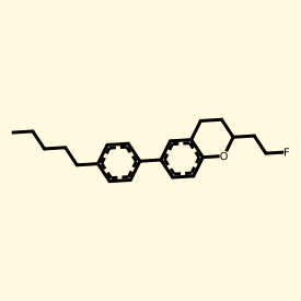 CCCCCc1ccc(-c2ccc3c(c2)CCC(CCF)O3)cc1